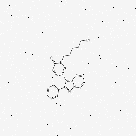 N#CCCCCCn1nc(-c2c(-c3ccccc3)nn3ccccc23)ccc1=O